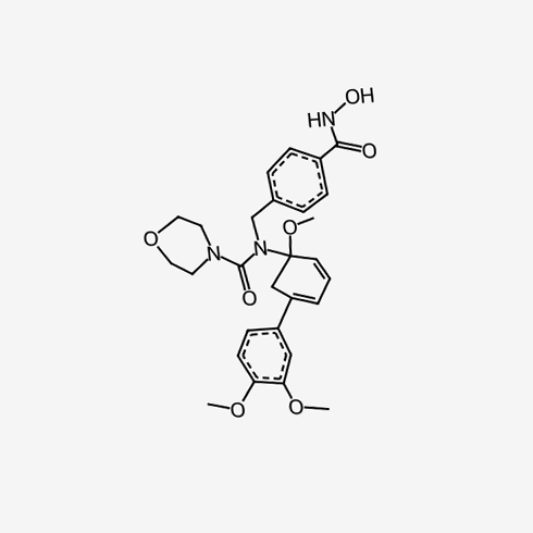 COc1ccc(C2=CC=CC(OC)(N(Cc3ccc(C(=O)NO)cc3)C(=O)N3CCOCC3)C2)cc1OC